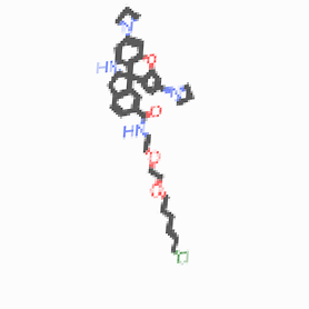 N=C1Cc2ccc(C(=O)NCCOCCOCCCCCCCl)cc2C12c1ccc(N3CCC3)cc1Oc1cc(N3CCC3)ccc12